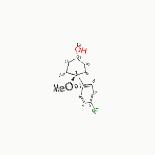 CO[C@]1(c2ccc(F)cc2)CC[C@@H](O)CC1